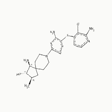 C[C@@H]1CC2(CCN(c3cnc(Sc4ccnc(N)c4Cl)c(N)n3)CC2)[C@H](N)[C@H]1O